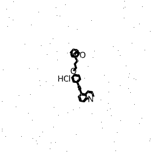 Cl.O=C1C2CCC(CC2)N1CCCOc1ccc(C#Cc2cccc3ncccc23)cc1